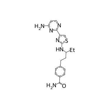 CCC(CCc1ccc(C(N)=O)cc1)Nc1nc(-c2nccc(N)n2)cs1